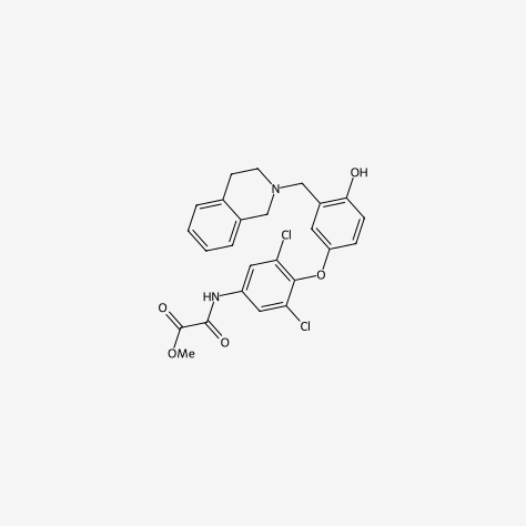 COC(=O)C(=O)Nc1cc(Cl)c(Oc2ccc(O)c(CN3CCc4ccccc4C3)c2)c(Cl)c1